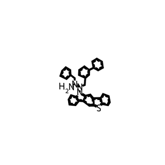 NN(Cc1ccccc1)N(Cc1cccc(-c2ccccc2)c1)n1c2ccccc2c2cc3sc4ccccc4c3cc21